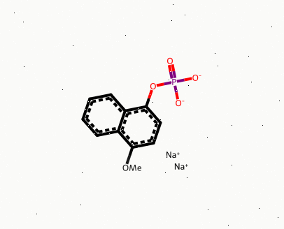 COc1ccc(OP(=O)([O-])[O-])c2ccccc12.[Na+].[Na+]